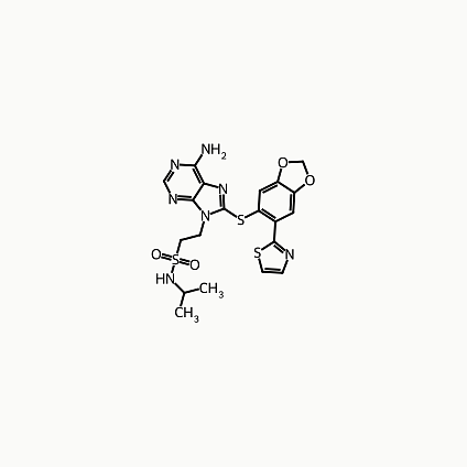 CC(C)NS(=O)(=O)CCn1c(Sc2cc3c(cc2-c2nccs2)OCO3)nc2c(N)ncnc21